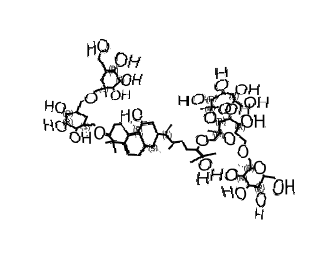 CC(CCC(OC[C@@]1(C)OC(COC[C@@]2(C)OC(CO)[C@H](O)C(O)[C@H]2O)[C@H](O)C(O)[C@H]1O[C@@]1(C)OC(CO)[C@H](O)C(O)[C@H]1O)C(C)(C)O)[C@H](C)C1CC(O)[C@]2(C)C3CCC(OC[C@]4(C)CC(COC[C@]5(C)CC(CO)[C@@H](O)[C@@H](O)C5O)[C@@H](O)[C@@H](O)C4O)C(C)(C)C3=CCC2[C@H]1C